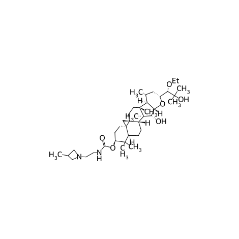 CCO[C@@H]([C@H]1C[C@@H](C)[C@H]2[C@H](O1)[C@H](O)[C@@]1(C)[C@@H]3CC[C@H]4C(C)(C)[C@@H](OC(=O)NCCN5CC(C)C5)CC[C@@]45C[C@@]35CC[C@]21C)C(C)(C)O